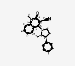 C[C@@H]1[C@H](c2ccccc2)CCN1c1c(C#N)c(=O)n(C)c2ccccc12